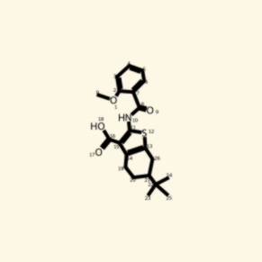 COc1ccccc1C(=O)Nc1sc2c(c1C(=O)O)CCC(C(C)(C)C)C2